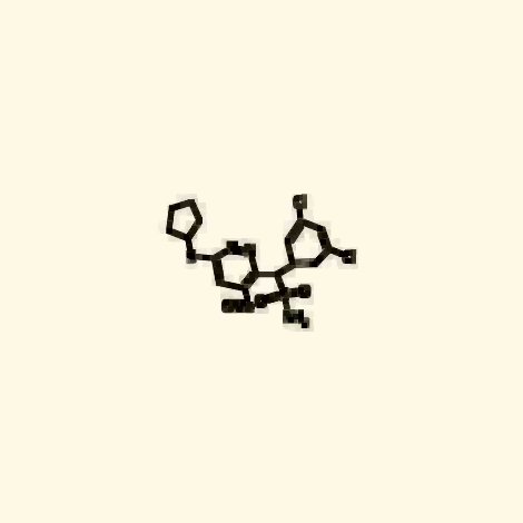 COc1cc(SC2CCCC2)nnc1C(c1cc(Cl)cc(Cl)c1)S(N)(=O)=O